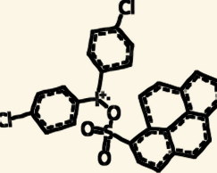 O=S(=O)(O[I+](c1ccc(Cl)cc1)c1ccc(Cl)cc1)c1ccc2ccc3cccc4ccc1c2c34